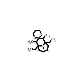 CCC12CCCCC(CC)(C(C)C3(OCCCO3)C1C)P2C